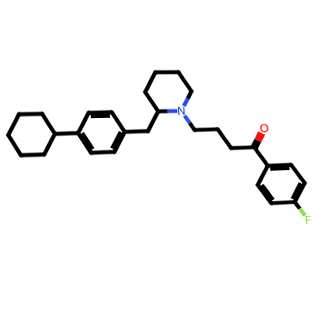 O=C(CCCN1CCCCC1Cc1ccc(C2CCCCC2)cc1)c1ccc(F)cc1